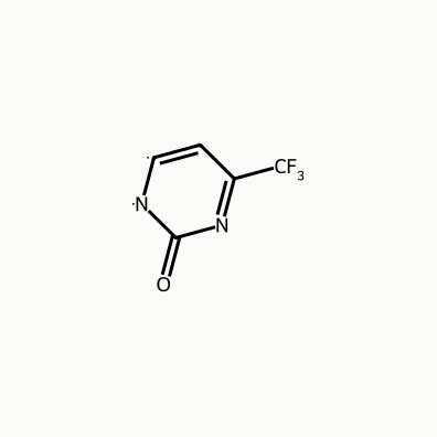 O=C1[N][C]=CC(C(F)(F)F)=N1